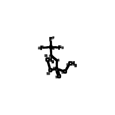 COP(=O)(CCS(F)(F)F)OC